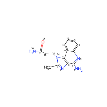 Cc1nc2c(N)nc3ccccc3c2n1CCC(N)=O